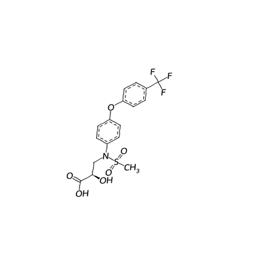 CS(=O)(=O)N(C[C@@H](O)C(=O)O)c1ccc(Oc2ccc(C(F)(F)F)cc2)cc1